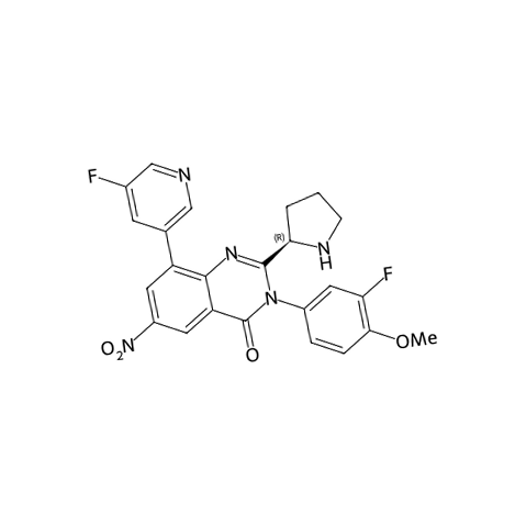 COc1ccc(-n2c([C@H]3CCCN3)nc3c(-c4cncc(F)c4)cc([N+](=O)[O-])cc3c2=O)cc1F